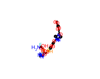 CC(=O)OCc1ccc(OC(=O)CCCCC(=O)N2Cc3ccccc3-c3c(nnn3CCOc3ccc(C(=O)Oc4ccc(CSPOC[C@H]5O[C@@H](n6cnc7c(C)ncnc76)[C@H](F)[C@@H]5O[P@](C)(=O)OC[C@H]5O[C@@H](N)[C@H](F)[C@@H]5O)cc4)cc3)-c3ccccc32)cc1